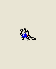 c1ccc(-c2ccc3c4ccccc4n(-c4nc(-c5ccccc5-c5ccccc5-c5ccccc5)nc(-n5c6ccccc6c6ccccc65)n4)c3c2)cc1